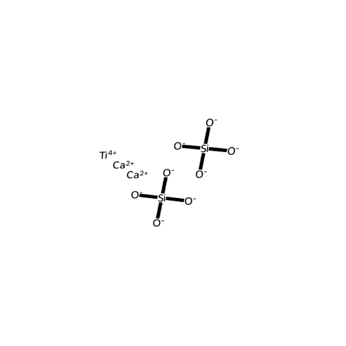 [Ca+2].[Ca+2].[O-][Si]([O-])([O-])[O-].[O-][Si]([O-])([O-])[O-].[Ti+4]